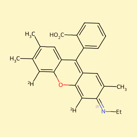 [2H]c1c2oc3c([2H])c(C)c(C)cc3c(-c3ccccc3C(=O)O)c-2cc(C)/c1=N\CC